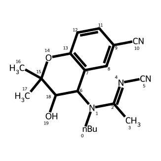 CCCCN(C(C)=NC#N)C1c2cc(C#N)ccc2OC(C)(C)C1O